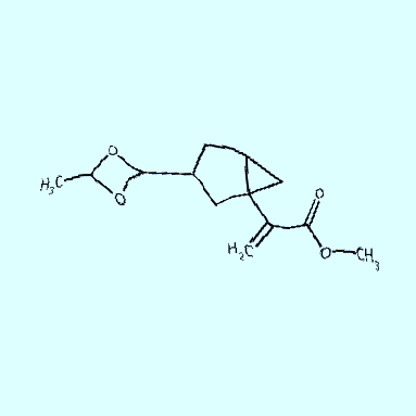 C=C(C(=O)OC)C12CC(C3OC(C)O3)CC1C2